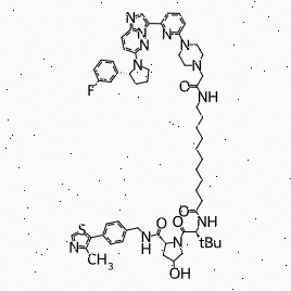 Cc1ncsc1-c1ccc(CNC(=O)[C@@H]2CC(O)CN2C(=O)[C@@H](NC(=O)CCCCCCCCCCNC(=O)CN2CCN(c3cccc(-c4cnc5ccc(N6CCC[C@@H]6c6cccc(F)c6)nn45)n3)CC2)C(C)(C)C)cc1